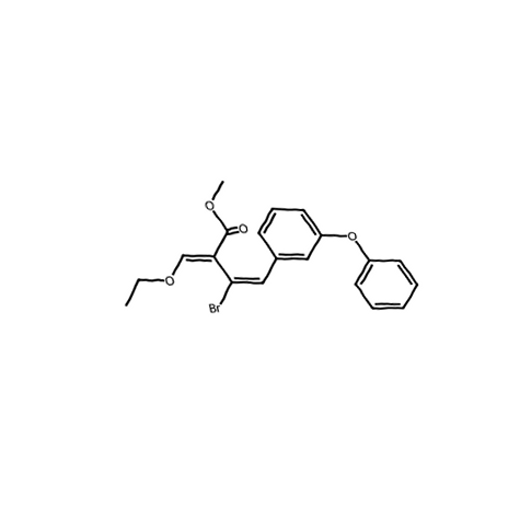 CCO/C=C(C(=O)OC)\C(Br)=C/c1cccc(Oc2ccccc2)c1